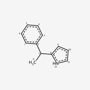 CC(c1ccccc1)c1ccc[nH]1